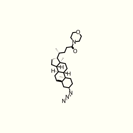 C[C@H](CCC(=O)N1CCOCC1)[C@H]1CC[C@H]2[C@@H]3CC=C4C[C@H](N=[N+]=[N-])CC[C@]4(C)[C@H]3CC[C@]12C